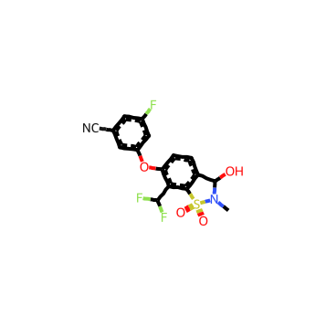 CN1C(O)c2ccc(Oc3cc(F)cc(C#N)c3)c(C(F)F)c2S1(=O)=O